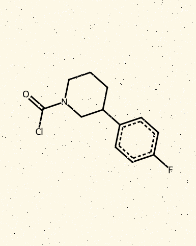 O=C(Cl)N1CCCC(c2ccc(F)cc2)C1